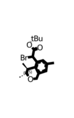 Cc1cc2c(c(C(Br)C(=O)OC(C)(C)C)c1)[C@H](C)[C@@H](C)OC2